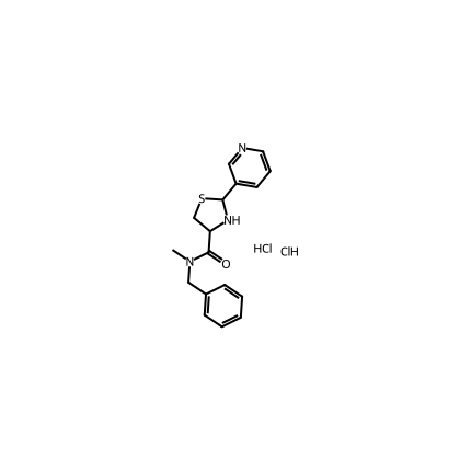 CN(Cc1ccccc1)C(=O)C1CSC(c2cccnc2)N1.Cl.Cl